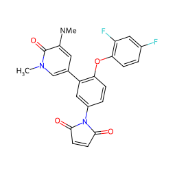 CNc1cc(-c2cc(N3C(=O)C=CC3=O)ccc2Oc2ccc(F)cc2F)cn(C)c1=O